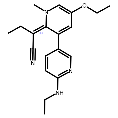 CCNc1ccc(C2=CC(OCC)=CN(C)/C2=C(/C#N)CC)cn1